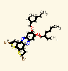 CCCCC(CC)COc1cc2nc3c4c(c5sc(Br)cc5c3nc2cc1OCC(CC)CCCC)SC(Br)C4